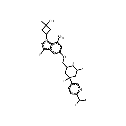 CC1CC(F)(c2ccc(C(F)F)nc2)CC(COc2cc(C(F)(F)F)c3c(c2)c(F)nn3C2CC(C)(O)C2)N1